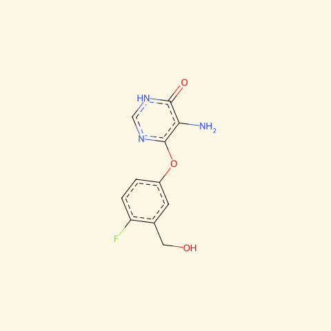 Nc1c(Oc2ccc(F)c(CO)c2)nc[nH]c1=O